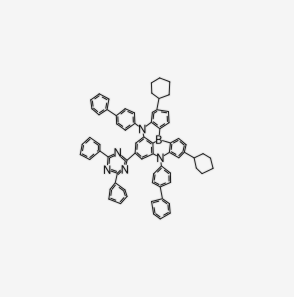 c1ccc(-c2ccc(N3c4cc(C5CCCCC5)ccc4B4c5ccc(C6CCCCC6)cc5N(c5ccc(-c6ccccc6)cc5)c5cc(-c6nc(-c7ccccc7)nc(-c7ccccc7)n6)cc3c54)cc2)cc1